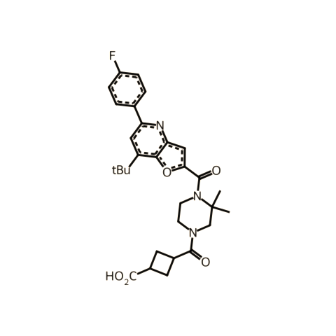 CC(C)(C)c1cc(-c2ccc(F)cc2)nc2cc(C(=O)N3CCN(C(=O)C4CC(C(=O)O)C4)CC3(C)C)oc12